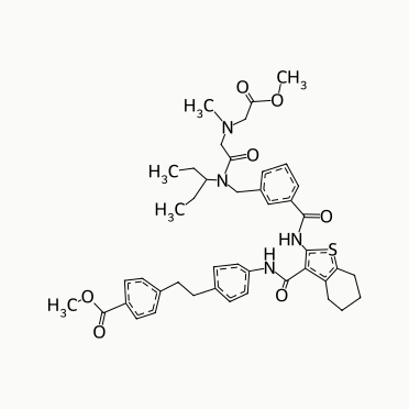 CCC(CC)N(Cc1cccc(C(=O)Nc2sc3c(c2C(=O)Nc2ccc(CCc4ccc(C(=O)OC)cc4)cc2)CCCC3)c1)C(=O)CN(C)CC(=O)OC